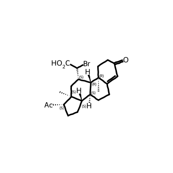 CC(=O)[C@H]1CC[C@H]2[C@@H]3CCC4=CC(=O)CC[C@]4(C)[C@H]3[C@@H](C(Br)C(=O)O)C[C@]12C